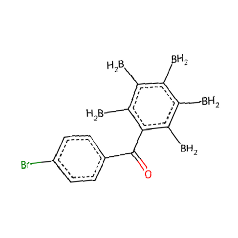 Bc1c(B)c(B)c(C(=O)c2ccc(Br)cc2)c(B)c1B